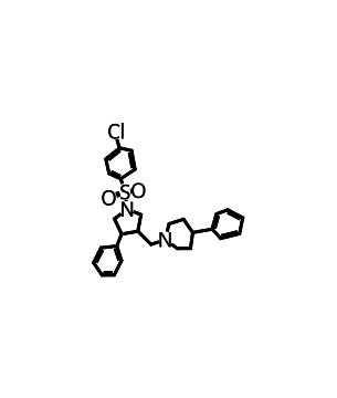 O=S(=O)(c1ccc(Cl)cc1)N1CC(CN2CCC(c3ccccc3)CC2)C(c2ccccc2)C1